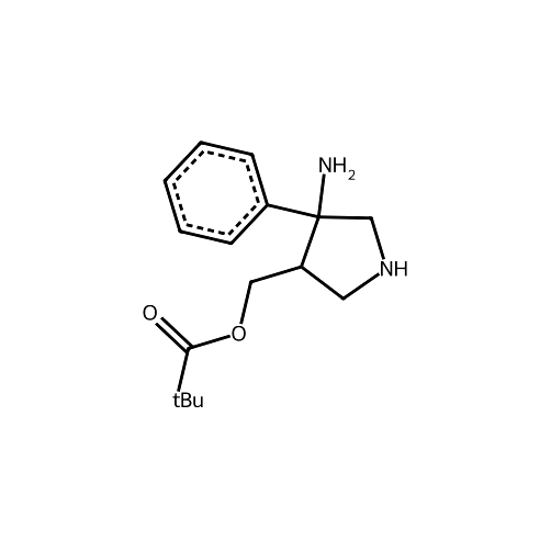 CC(C)(C)C(=O)OCC1CNCC1(N)c1ccccc1